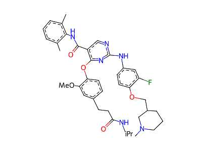 COc1cc(CCC(=O)NC(C)C)ccc1Oc1nc(Nc2ccc(OCC3CCCN(C)C3)c(F)c2)ncc1C(=O)Nc1c(C)cccc1C